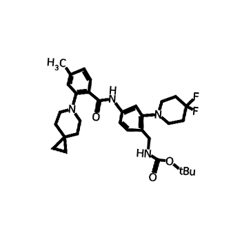 Cc1ccc(C(=O)Nc2ccc(CNC(=O)OC(C)(C)C)c(N3CCC(F)(F)CC3)c2)c(N2CCC3(CC2)CC3)c1